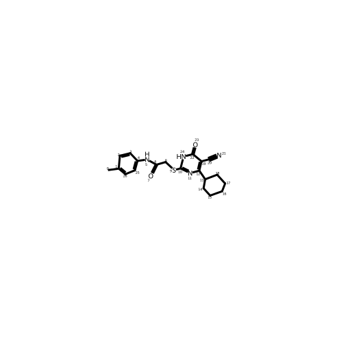 Cc1ccc(NC(=O)CSc2nc(C3CCCCC3)c(C#N)c(=O)[nH]2)cc1